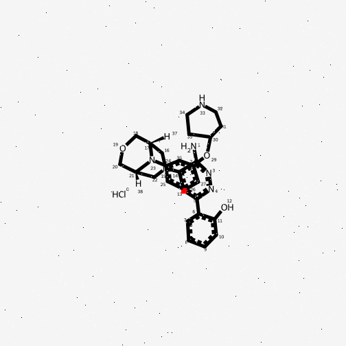 Cl.Nc1nnc(-c2ccccc2O)cc1N1C[C@H]2COC[C@@H](C1)N2c1cccc(OC2CCNCC2)c1